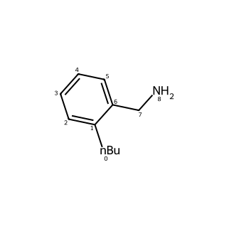 [CH2]CCCc1ccccc1CN